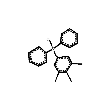 Cc1cc([Si](Cl)(c2ccccc2)c2ccccc2)cc(C)c1C